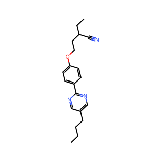 CCCCc1cnc(-c2ccc(OCCC(C#N)CC)cc2)nc1